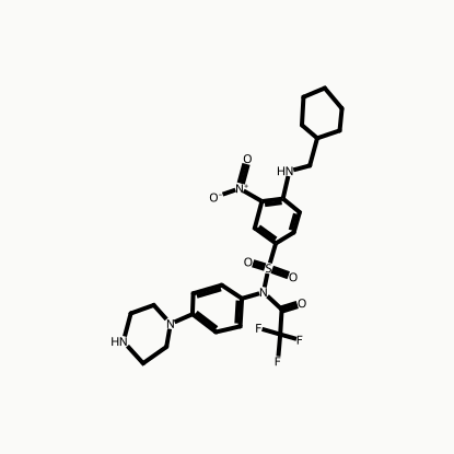 O=C(N(c1ccc(N2CCNCC2)cc1)S(=O)(=O)c1ccc(NCC2CCCCC2)c([N+](=O)[O-])c1)C(F)(F)F